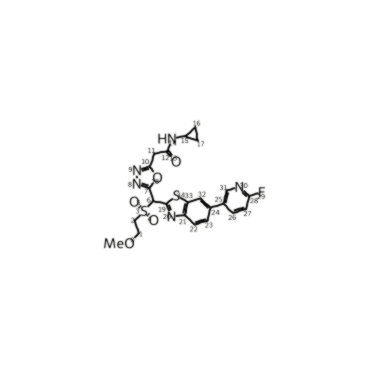 COCCS(=O)(=O)C(c1nnc(CC(=O)NC2CC2)o1)c1nc2ccc(-c3ccc(F)nc3)cc2s1